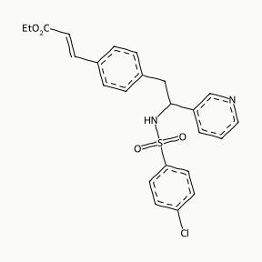 CCOC(=O)C=Cc1ccc(CC(NS(=O)(=O)c2ccc(Cl)cc2)c2cccnc2)cc1